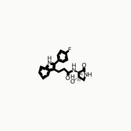 O=C(CCc1c(-c2ccc(F)cc2)[nH]c2ccccc12)N[C@H]1C(=O)NC[C@@H]1O